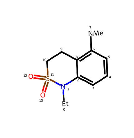 CCN1c2cccc(NC)c2CCS1(=O)=O